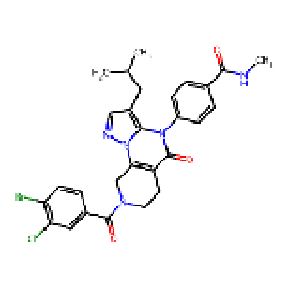 CNC(=O)c1ccc(-n2c(=O)c3c(n4ncc(CC(C)C)c24)CN(C(=O)c2ccc(Br)c(Cl)c2)CC3)cc1